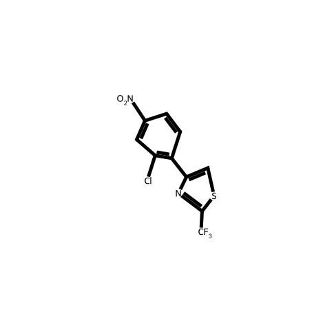 O=[N+]([O-])c1ccc(-c2csc(C(F)(F)F)n2)c(Cl)c1